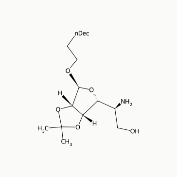 CCCCCCCCCCCCO[C@H]1O[C@H]([C@@H](N)CO)[C@@H]2OC(C)(C)O[C@H]12